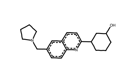 OC1CCCC(c2ccc3cc(CN4CCCC4)ccc3n2)C1